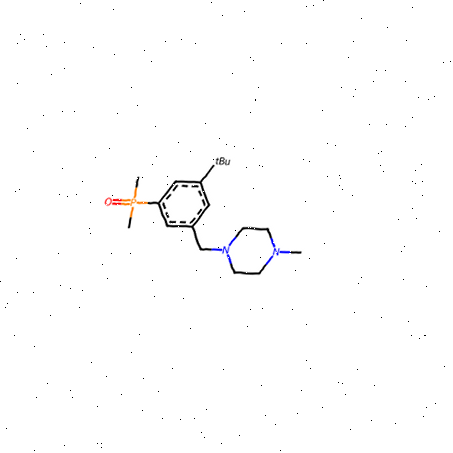 CN1CCN(Cc2cc(C(C)(C)C)cc(P(C)(C)=O)c2)CC1